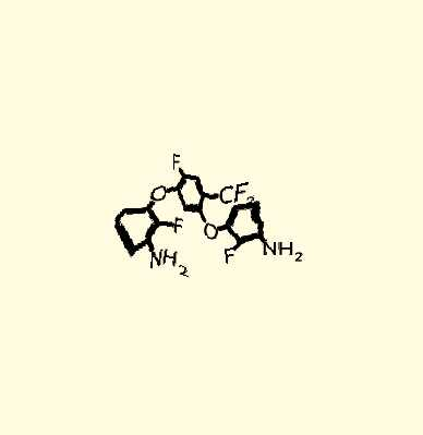 Nc1cccc(Oc2cc(Oc3cccc(N)c3F)c(C(F)(F)F)cc2F)c1F